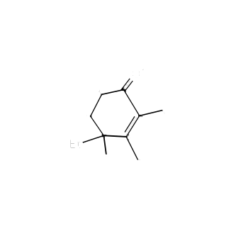 CCC1(CC)CCC(=O)C(C)=C1C